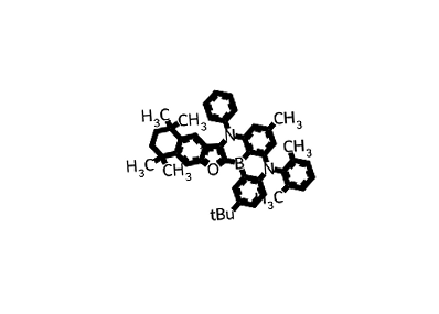 Cc1cc2c3c(c1)N(c1ccccc1)c1c(oc4cc5c(cc14)C(C)(C)CCC5(C)C)B3c1cc(C(C)(C)C)ccc1N2c1c(C)cccc1C